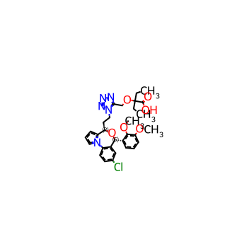 CCC(CC)(OCc1nnnn1CC[C@H]1O[C@H](c2cccc(OC)c2OC)c2cc(Cl)ccc2-n2cccc21)C(=O)O